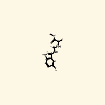 COC(=O)C(C)NC(=S)Nc1noc2ccc(F)cc12